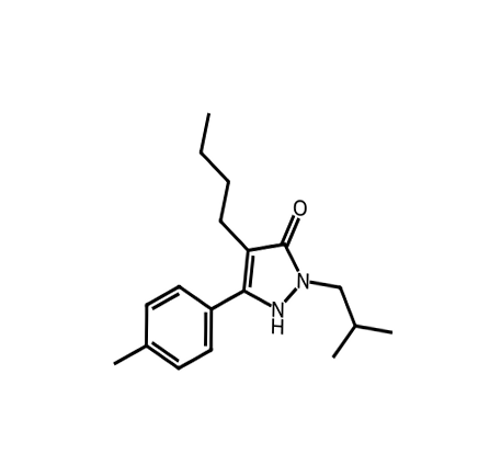 CCCCc1c(-c2ccc(C)cc2)[nH]n(CC(C)C)c1=O